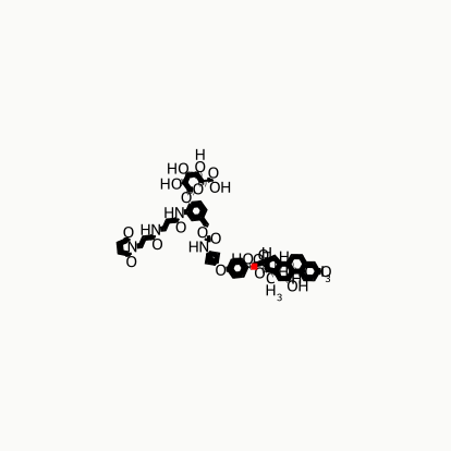 C[C@]12C=CC(=O)C=C1CC[C@@H]1[C@@H]2[C@@H](O)C[C@@]2(C)[C@H]1C[C@H]1O[C@@H](c3ccc(OC45CC(NC(=O)OCc6ccc(O[C@@H]7O[C@H](C(=O)O)[C@@H](O)[C@H](O)[C@H]7O)c(NC(=O)CCNC(=O)CCN7C(=O)C=CC7=O)c6)(C4)C5)cc3)O[C@]12C(=O)CO